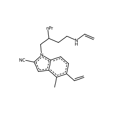 C=CNCCC(CCC)Cn1c(C#N)cc2c(C)c(C=C)ccc21